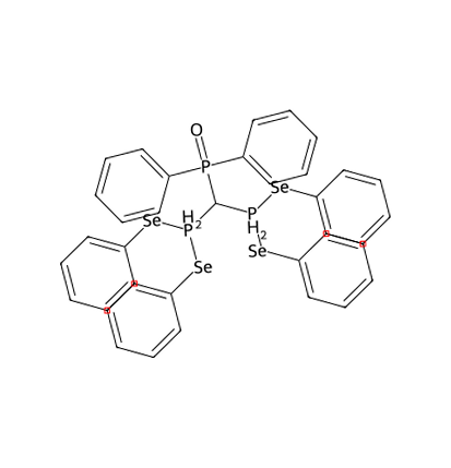 O=P(c1ccccc1)(c1ccccc1)C([PH2]([Se]c1ccccc1)[Se]c1ccccc1)[PH2]([Se]c1ccccc1)[Se]c1ccccc1